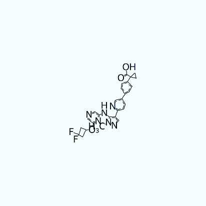 Cn1ncc(-c2ccc(-c3ccc(C4(C(=O)O)CC4)cc3)cn2)c1Nc1cncc(OC2CC(F)(F)C2)n1